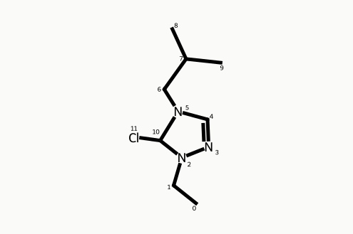 CCN1N=CN(CC(C)C)C1Cl